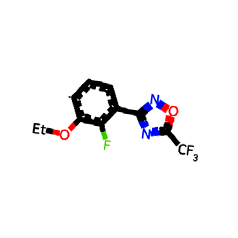 CCOc1[c]ccc(-c2noc(C(F)(F)F)n2)c1F